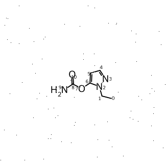 CCn1nccc1OC(N)=O